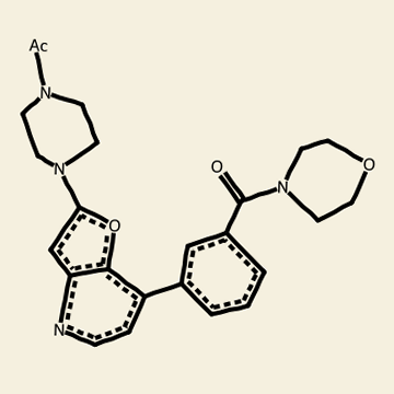 CC(=O)N1CCN(c2cc3nccc(-c4cccc(C(=O)N5CCOCC5)c4)c3o2)CC1